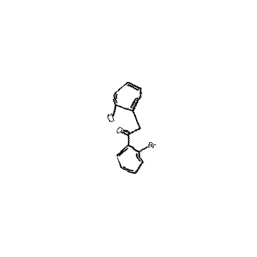 O=C(Cc1ccccc1Cl)c1ccccc1Br